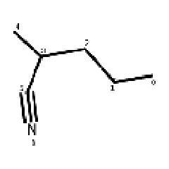 C[CH]CC(C)C#N